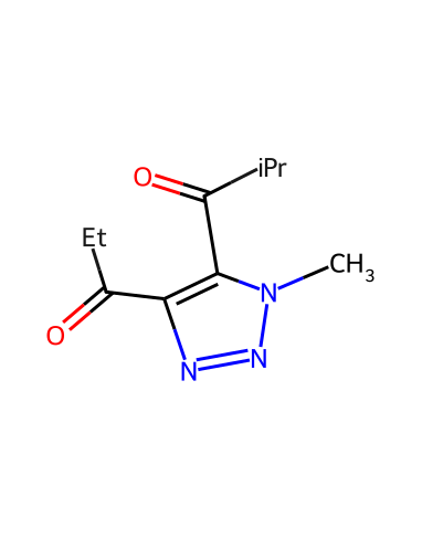 CCC(=O)c1nnn(C)c1C(=O)C(C)C